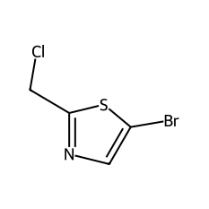 ClCc1ncc(Br)s1